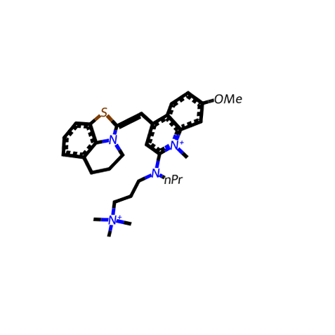 CCCN(CCC[N+](C)(C)C)c1cc(C=C2Sc3cccc4c3N2CCC4)c2ccc(OC)cc2[n+]1C